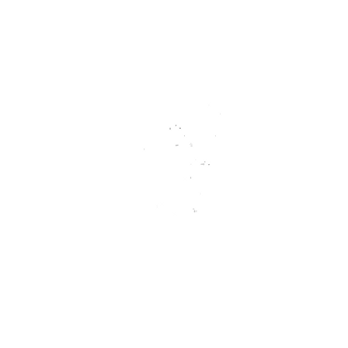 Cc1cccc(C(N)(c2ccccc2)P(=O)(O)O)n1